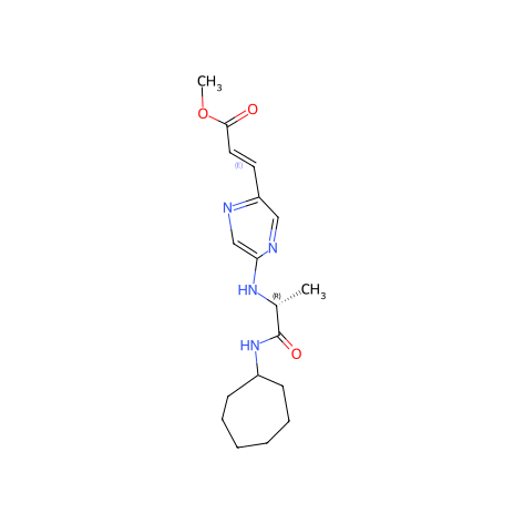 COC(=O)/C=C/c1cnc(N[C@H](C)C(=O)NC2CCCCCC2)cn1